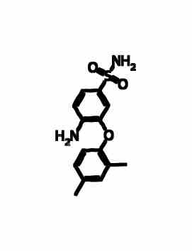 Cc1ccc(Oc2cc(S(N)(=O)=O)ccc2N)c(C)c1